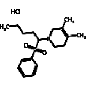 CCCCC(N1CCC(C)=C(C)C1)S(=O)(=O)c1ccccc1.Cl